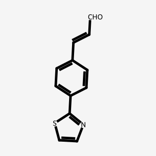 O=C/C=C/c1ccc(-c2nccs2)cc1